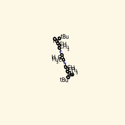 CC(C)(C)c1ccc(N(c2ccc3c(c2)C(C)(C)c2cc(/C=C/c4ccc5c(c4)C(C)(C)c4cc(/C=C/c6ccc7c(c6)C(C)(C)c6cc(N(c8ccc(C(C)(C)C)cc8)c8ccccn8)ccc6-7)ccc4-5)ccc2-3)c2ccccn2)cc1